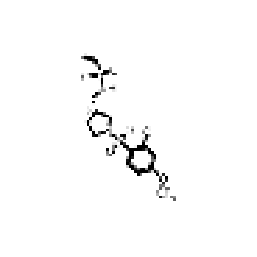 C=CS(=O)(=O)NC[C@H]1CCN(S(=O)(=O)c2ccc(OC(F)(F)F)cc2Cl)C1